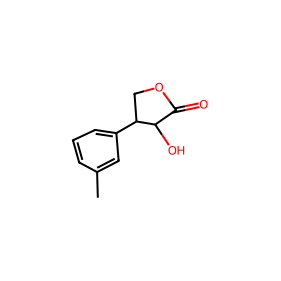 Cc1cccc(C2COC(=O)C2O)c1